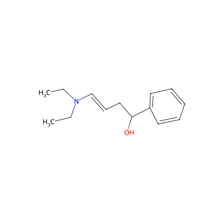 CCN(C=CCC(O)c1ccccc1)CC